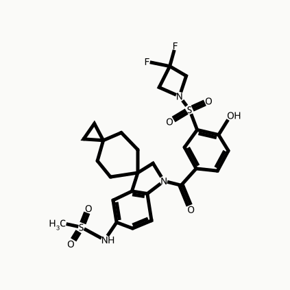 CS(=O)(=O)Nc1ccc2c(c1)C1(CCC3(CC3)CC1)CN2C(=O)c1ccc(O)c(S(=O)(=O)N2CC(F)(F)C2)c1